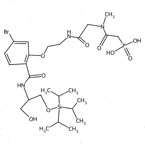 CC(C)[Si](OCC(CO)NC(=O)c1ccc(Br)cc1OCCNC(=O)CN(C)C(=O)CP(=O)(O)O)(C(C)C)C(C)C